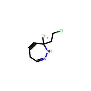 CC1(CCCl)C#CCC=NN1